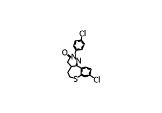 O=C1CC2CCSc3cc(Cl)ccc3C2=NN1c1ccc(Cl)cc1